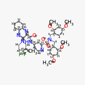 COc1ccc(CN(Cc2ccc(OC)cc2OC)S(=O)(=O)c2cc(NC(=O)c3nc4ccccc4nc3N3CCC(F)(F)C(C)C3)ccn2)c(OC)c1